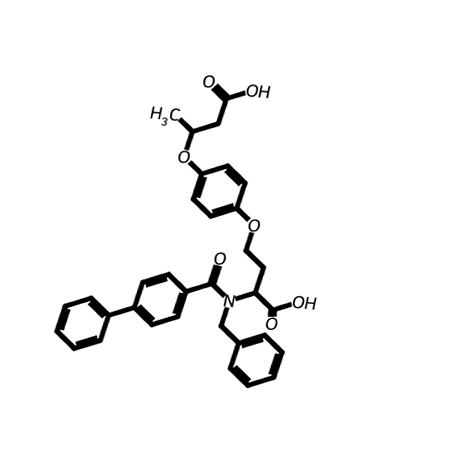 CC(CC(=O)O)Oc1ccc(OCCC(C(=O)O)N(Cc2ccccc2)C(=O)c2ccc(-c3ccccc3)cc2)cc1